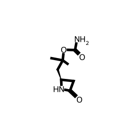 CC(C)(C[C@H]1CC(=O)N1)OC(N)=O